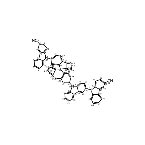 N#Cc1ccc2c(c1)c1ccccc1n2-c1cnc2c(c1)C1(c3ccccc3Sc3cc(-n4c5ccccc5c5cc(-n6c7ccccc7c7cc(C#N)ccc76)ccc54)ccc31)c1cccnc1-2